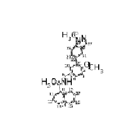 COc1ccc(CN[C@H](C)c2cccc3ccccc23)cc1-c1ccc2c(cnn2C)c1